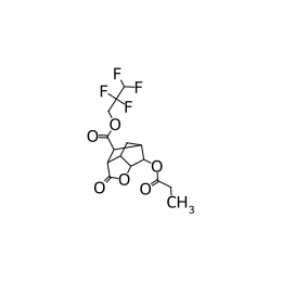 CCC(=O)OC1C2CC3C1OC(=O)C3C2C(=O)OCC(F)(F)C(F)F